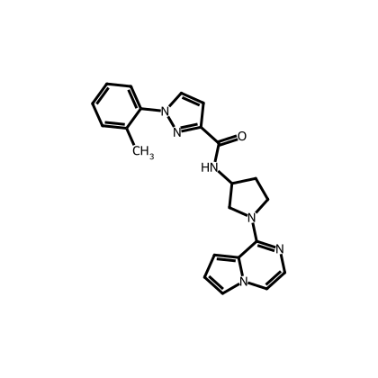 Cc1ccccc1-n1ccc(C(=O)NC2CCN(c3nccn4cccc34)C2)n1